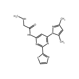 CNCC(=O)Nc1cc(-n2nc(C)cc2C)nc(-c2nccs2)n1